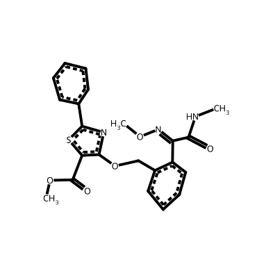 CNC(=O)/C(=N/OC)c1ccccc1COc1nc(-c2ccccc2)sc1C(=O)OC